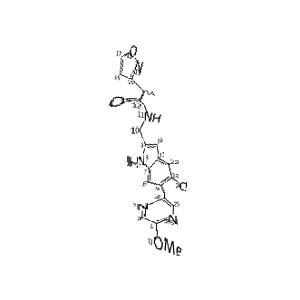 COc1cnc(-c2cc3[nH]c(CNC(=O)Cc4ccon4)cc3cc2Cl)cn1